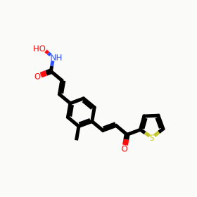 Cc1cc(/C=C/C(=O)NO)ccc1/C=C/C(=O)c1cccs1